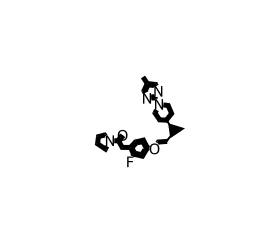 Cc1cnc(N2CCC([C@H]3C[C@H]3CCOc3ccc(CC(=O)N4CCCC4)c(F)c3)CC2)nc1